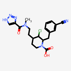 CN(CCC1CCN(C(=O)O)C(Cc2cccc(C#N)c2)C1Cl)C(=O)c1c[nH]nn1